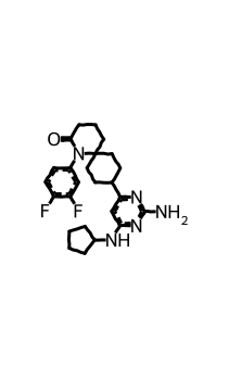 Nc1nc(NC2CCCC2)cc(C2CCC3(CCCC(=O)N3c3ccc(F)c(F)c3)CC2)n1